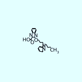 CCCCN(CCCOc1nc2ccccc2nc1C(=O)O)c1ccccn1